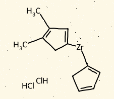 CC1=C(C)C[C]([Zr][C]2=CC=CC2)=C1.Cl.Cl